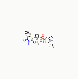 CCc1cc(-c2ccc(S(=O)(=O)NCC3CCCN3CC)s2)c(C)[nH]c1=O